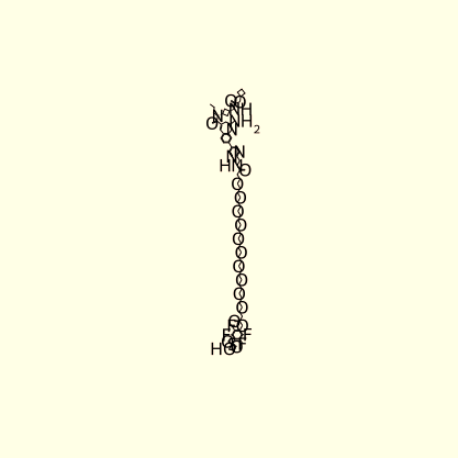 CCCN(C(=O)C1=Cc2ccc(-c3cnc(CNC(=O)CCOCCOCCOCCOCCOCCOCCOCCOCCOCCOCCC(=O)Oc4c(F)c(F)c(S(=O)(=O)O)c(F)c4F)nc3)cc2N=C(N)C1)[C@H]1C[C@H](NC(=O)OC2CCC2)C1